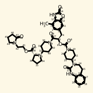 Cc1cc(C[C@@H](OC(=O)N2CCC(N3CCc4ccccc4NC3=O)CC2)C(=O)N2CCC(N3CCC[C@@H]3C(=O)OCCN3CCCC3=O)CC2)cc2oc(=O)[nH]c12